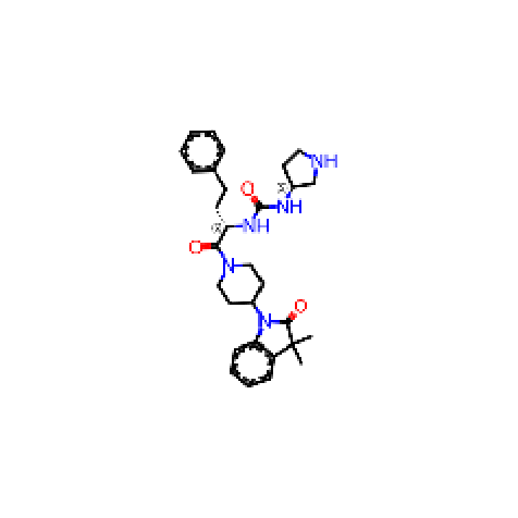 CC1(C)C(=O)N(C2CCN(C(=O)[C@H](CCc3ccccc3)NC(=O)N[C@H]3CCNC3)CC2)c2ccccc21